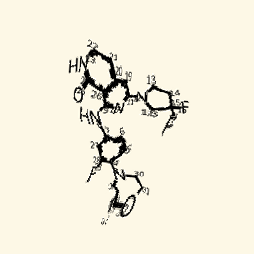 C[C@@H]1CN(c2ccc(Nc3nc(N4CCC(F)(F)C4)cc4cc[nH]c(=O)c34)cc2F)CCO1